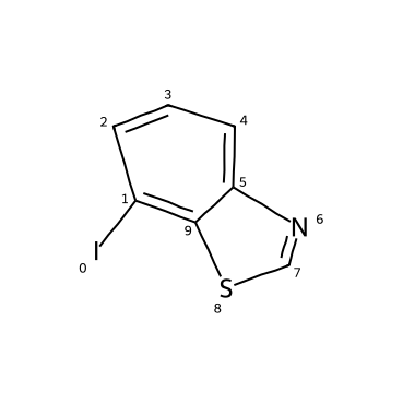 Ic1cccc2ncsc12